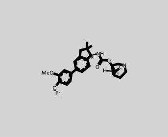 COc1cc(-c2ccc3c(c2)CC(C)(C)[C@H]3NC(=O)O[C@@H]2CN3CCC2CC3)ccc1OC(C)C